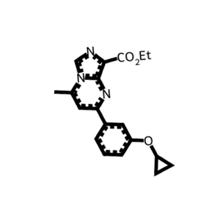 CCOC(=O)c1ncn2c(C)cc(-c3cccc(OC4CC4)c3)nc12